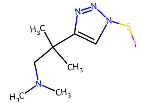 CN(C)CC(C)(C)c1cn(SI)nn1